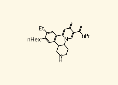 C=C1C=C2c3cc(CC)c(CCCCCC)cc3C3CNCCC3N2C=C1C(=C)CCC